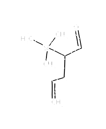 C=CCC(C=O)[Si](C)(C)C